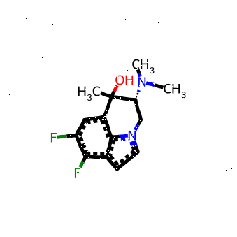 CN(C)[C@@H]1Cn2ccc3c(F)c(F)cc(c32)C1(C)O